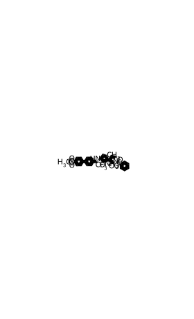 CC1C[C@H](N[C@@H](c2ccc(-c3ccc(S(C)(=O)=O)cc3)cc2)C(F)(F)F)C(=O)C1(N)C1CCN(S(=O)(=O)c2ccccc2)C1=O